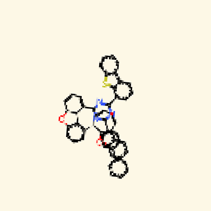 C1=Cc2c(oc3ccccc23)[C@H](c2cccc3c2C2C(c4nc(-c5ccc(-c6ccccc6)cc5)nc(-c5cccc6c5sc5ccccc56)n4)=CC=CC2O3)C=C1